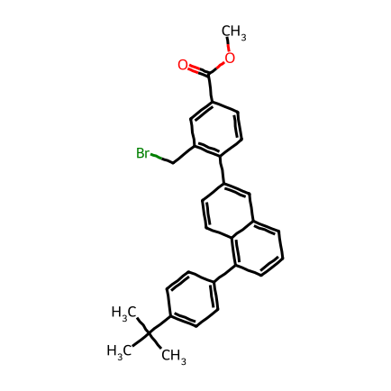 COC(=O)c1ccc(-c2ccc3c(-c4ccc(C(C)(C)C)cc4)cccc3c2)c(CBr)c1